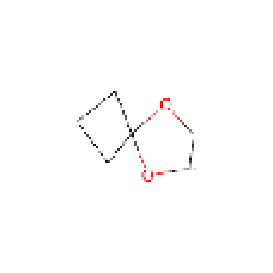 [CH]1COC2(CCC2)O1